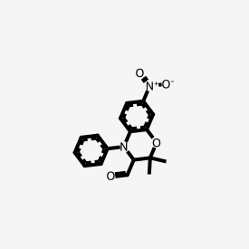 CC1(C)Oc2cc([N+](=O)[O-])ccc2N(c2ccccc2)C1C=O